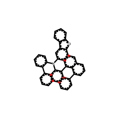 c1ccc(-c2ccccc2N(c2ccc3oc4ccccc4c3c2)c2ccccc2-c2cccc3cccc(-c4ccccc4)c23)cc1